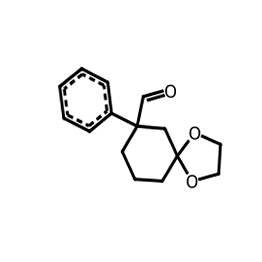 O=CC1(c2ccccc2)CCCC2(C1)OCCO2